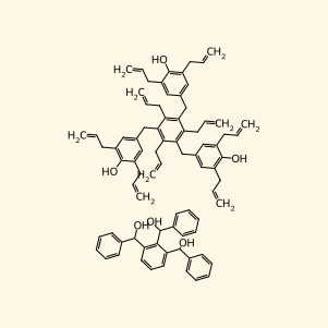 C=CCc1cc(Cc2c(CC=C)c(Cc3cc(CC=C)c(O)c(CC=C)c3)c(CC=C)c(Cc3cc(CC=C)c(O)c(CC=C)c3)c2CC=C)cc(CC=C)c1O.OC(c1ccccc1)c1cccc(C(O)c2ccccc2)c1C(O)c1ccccc1